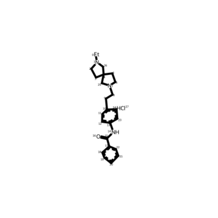 CCN1CCC2(CCN(CCc3ccc(NC(=O)c4ccccc4)cc3)C2)C1.Cl